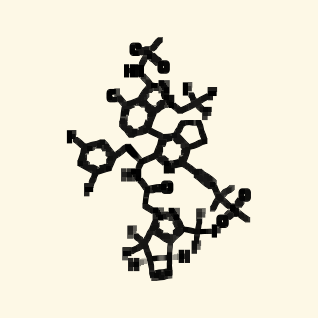 CC(C)(C#Cc1nc([C@H](Cc2cc(F)cc(F)c2)NC(=O)Cn2nc(C(F)(F)F)c3c2C(F)(F)[C@@H]2C#C[C@H]32)c(-c2ccc(Cl)c3c(NS(C)(=O)=O)nn(CC(F)(F)F)c23)c2c1CCC2)S(C)(=O)=O